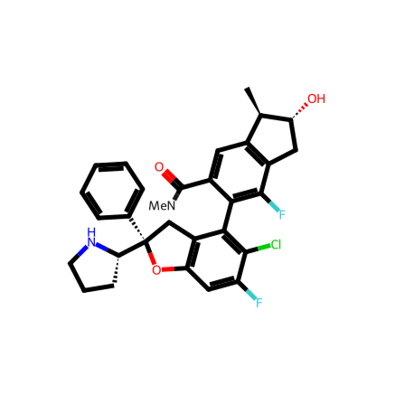 CNC(=O)c1cc2c(c(F)c1-c1c(Cl)c(F)cc3c1C[C@](c1ccccc1)([C@@H]1CCCN1)O3)C[C@@H](O)[C@@H]2C